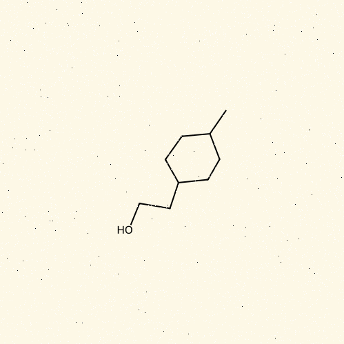 CC1CCC(CCO)CC1